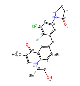 CCc1cc2c(cc1Cc1cc(N3CCCC3=O)cc(Cl)c1F)c(=O)c(C(=O)O)cn2[C@H](CO)C(C)(C)C